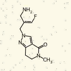 CN1CCc2nn(CC(=CF)CN)cc2C1=O